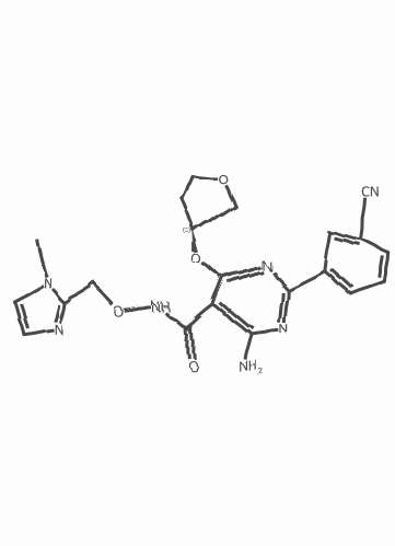 Cn1ccnc1CONC(=O)c1c(N)nc(-c2cccc(C#N)c2)nc1O[C@H]1CCOC1